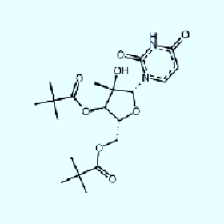 CC(C)(C)C(=O)OC[C@H]1O[C@@H](n2ccc(=O)[nH]c2=O)[C@@](C)(O)[C@@H]1OC(=O)C(C)(C)C